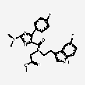 COC(=O)CN(CCc1c[nH]c2ccc(F)cc12)C(=O)c1nc(N(C)C)sc1-c1ccc(F)cc1